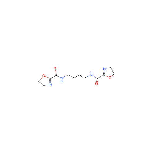 O=C(NCCCCNC(=O)C1=NCCO1)C1=NCCO1